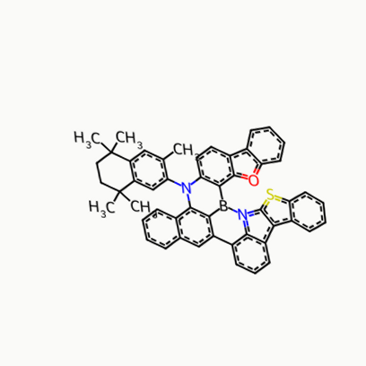 Cc1cc2c(cc1N1c3ccc4c(oc5ccccc54)c3B3c4c(cc5ccccc5c41)-c1cccc4c5c6ccccc6sc5n3c14)C(C)(C)CCC2(C)C